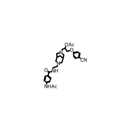 CC(=O)Nc1ccc(C(=O)NCCN2CC3CC(C2)CN(CC(COc2ccc(C#N)cc2)OC(C)=O)C3)cc1